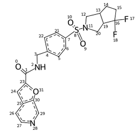 O=C(NCc1ccc(S(=O)(=O)N2CC3CCC(F)(F)C3C2)cc1)c1cc2ccncc2o1